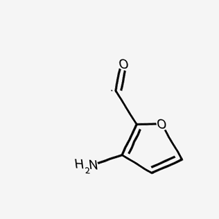 Nc1ccoc1[C]=O